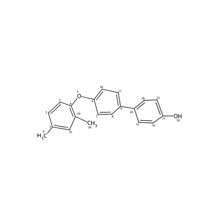 Cc1ccc(Oc2ccc(-c3ccc(O)cc3)cc2)c(C)c1